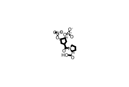 O=C(O)[C@H]1CCCN1C(=O)C1C[C@H](O[N+](=O)[O-])[C@H](O[N+](=O)[O-])C1